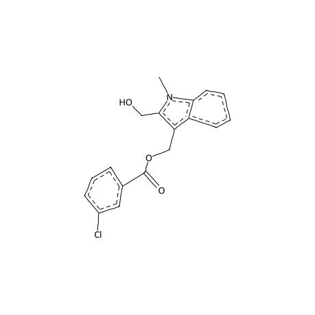 Cn1c(CO)c(COC(=O)c2cccc(Cl)c2)c2ccccc21